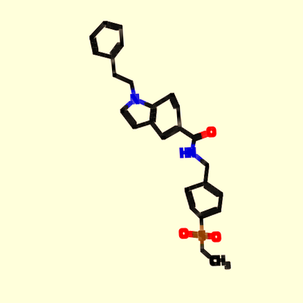 CCS(=O)(=O)c1ccc(CNC(=O)c2ccc3c(ccn3CCc3ccccc3)c2)cc1